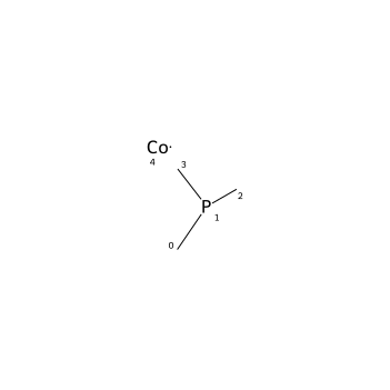 CP(C)C.[Co]